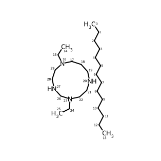 CCCCCCCCCCCCCC.CCN1CCCNCCN(CC)CNCC1